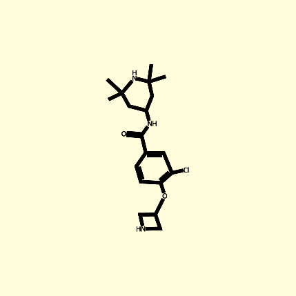 CC1(C)CC(NC(=O)c2ccc(OC3CNC3)c(Cl)c2)CC(C)(C)N1